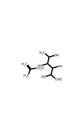 C=C(C)C(=O)O.CC(O)C(O)C(O)C(O)C=O